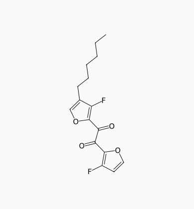 CCCCCCc1coc(C(=O)C(=O)c2occc2F)c1F